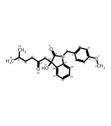 COc1ccc(CN2C(=O)C(O)(CC(=O)CCC(C)C)c3ccccc32)cc1